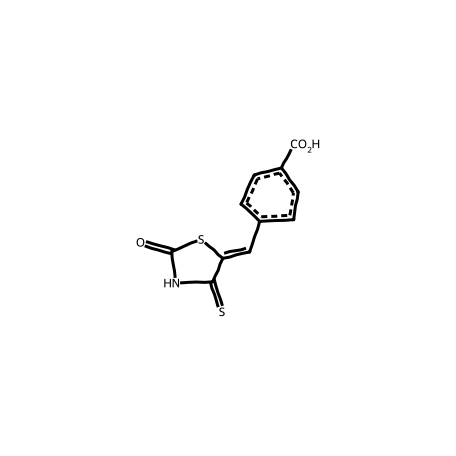 O=C1NC(=S)C(=Cc2ccc(C(=O)O)cc2)S1